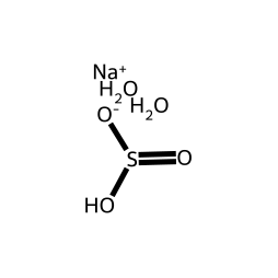 O.O.O=S([O-])O.[Na+]